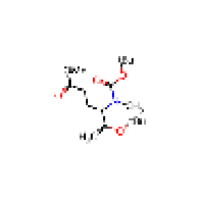 C=C(OC(C)(C)C)C(CCC(=O)OC)N(C)C(=O)OC(C)(C)C